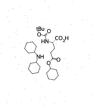 C1CCC(NC2CCCCC2)CC1.CC(C)(C)OC(=O)N[C@@H](CCC(=O)OC1CCCCC1)C(=O)O